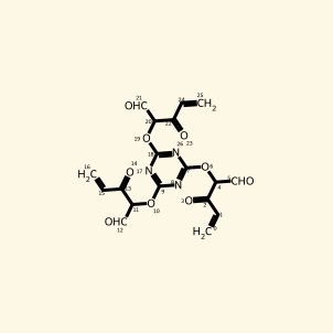 C=CC(=O)C(C=O)Oc1nc(OC(C=O)C(=O)C=C)nc(OC(C=O)C(=O)C=C)n1